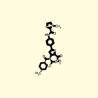 CC(C)N(c1cc(-c2ccc(NC(=O)c3nccn3C)cc2)sc1C(=O)O)C(=O)[C@H]1CC[C@H](C)CC1